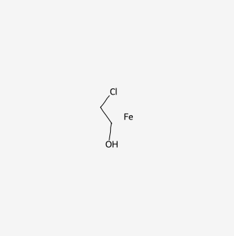 OCCCl.[Fe]